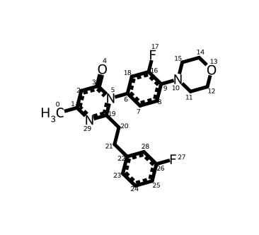 Cc1cc(=O)n(-c2ccc(N3CCOCC3)c(F)c2)c(CCc2cccc(F)c2)n1